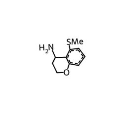 CSc1cccc2c1C(N)CCO2